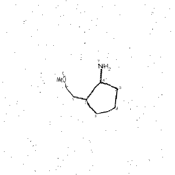 COCC1CCCC1N